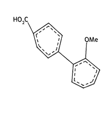 COc1ccccc1-c1ccc(C(=O)O)cc1